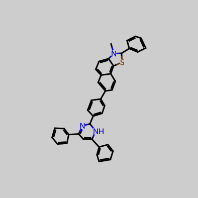 CN1c2ccc3cc(-c4ccc(C5N=C(c6ccccc6)C=C(c6ccccc6)N5)cc4)ccc3c2SC1c1ccccc1